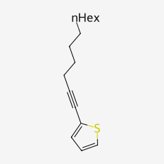 CCCCCCCCCCC#Cc1cccs1